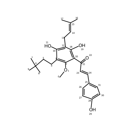 COc1c(CCC(C)(C)C)c(O)c(CC=C(C)C)c(O)c1C(=O)/C=C/c1ccc(O)cc1